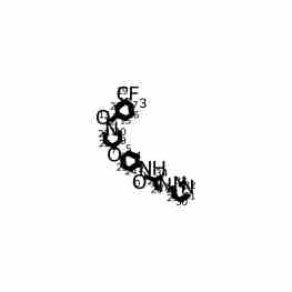 O=C(Nc1ccc(OC2CCN(C(=O)c3cccc(C(F)(F)F)c3)CC2)cc1)C1CN(c2cccnn2)C1